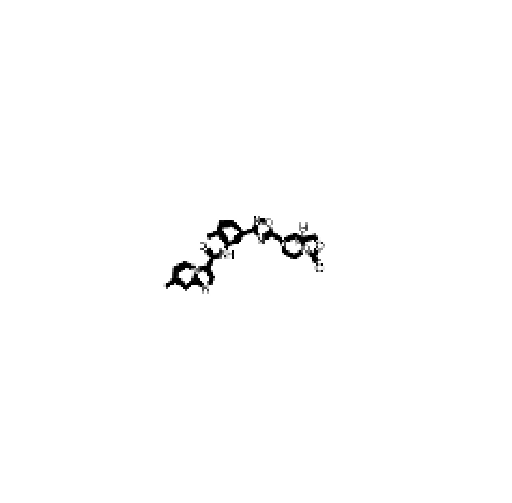 Cc1ccn2c(C(=O)Nc3cc(-c4noc(N5CCN6C(=O)OC[C@@H]6C5)n4)ccc3C)cnc2c1